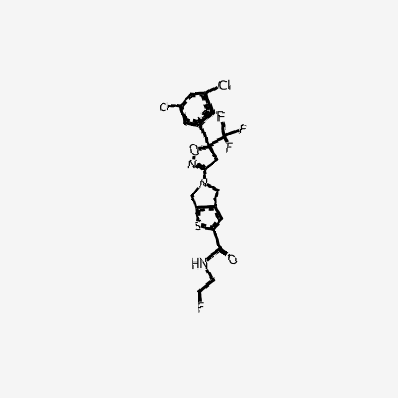 O=C(NCCF)c1cc2c(s1)CN(C1=NOC(c3cc(Cl)cc(Cl)c3)(C(F)(F)F)C1)C2